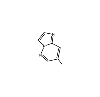 Cc1cnn2ccnc2c1